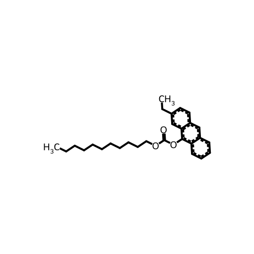 CCCCCCCCCCCOC(=O)Oc1c2ccccc2cc2ccc(CC)cc12